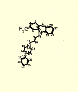 FC(F)(F)c1ccc2c(c1)N(CCCCN1CCN(c3ccccc3)CC1)c1ccccc1S2